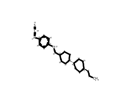 CCC[C@H]1CC[C@H](C2CCC(COc3ccc(N=C=S)cc3)CC2)CC1